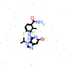 CC(C)n1cnc2cc(Br)nc(NC3(F)C(F)=CC=C(C(N)=O)C3C)c21